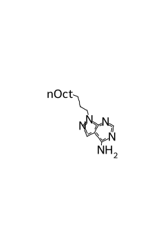 CCCCCCCCCCCn1ncc2c(N)ncnc21